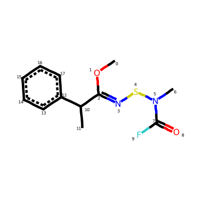 COC(=NSN(C)C(=O)F)C(C)c1ccccc1